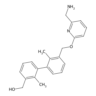 Cc1c(CO)cccc1-c1cccc(COc2cccc(CN)n2)c1C